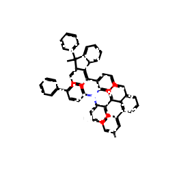 CC(C)(C)c1cc(-c2cccc3cccc(-c4ccccc4N(c4ccc(-c5ccccc5)cc4)c4ccccc4-c4cccc5c4-c4ccccc4C5(C)c4ccccc4)c23)cc(C(C)(C)C)c1